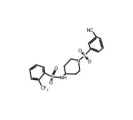 N#Cc1cccc(S(=O)(=O)N2CCC(NS(=O)(=O)c3ccccc3C(F)(F)F)CC2)c1